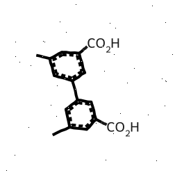 Cc1cc(C(=O)O)cc(-c2cc(C)cc(C(=O)O)c2)c1